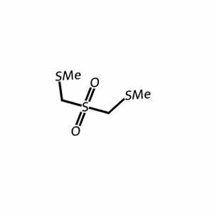 CSCS(=O)(=O)CSC